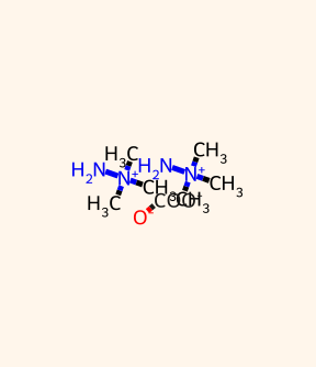 C[N+](C)(C)N.C[N+](C)(C)N.O=C([O-])[O-]